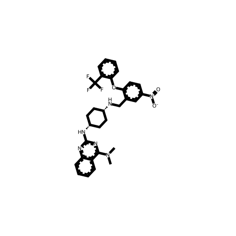 CN(C)c1nc(N[C@H]2CC[C@@H](NCc3cc([N+](=O)[O-])ccc3Oc3ccccc3C(F)(F)F)CC2)nc2ccccc12